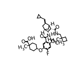 COc1cc(F)c(OC2CCC(C)(C(=O)O)CC2)cc1C(=O)N[C@@H]1[C@H]2C/C(=C\C3CC3)[C@H](C2)[C@@H]1C(=O)NCC1(C)CCC1